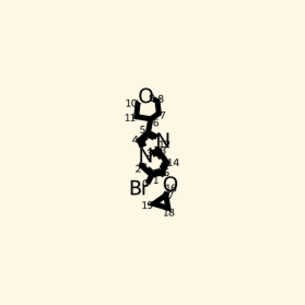 Brc1cn2cc(C3CCOCC3)nc2cc1OC1CC1